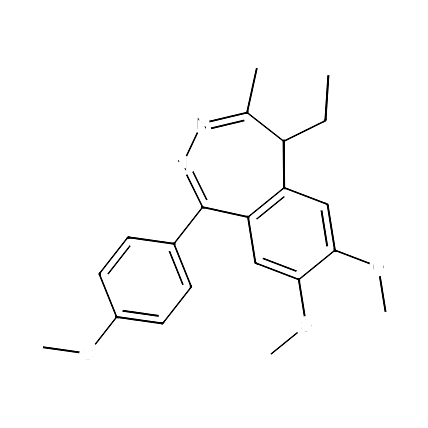 CCC1C(C)=NN=C(c2ccc(OC)cc2)c2cc(OC)c(OC)cc21